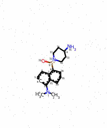 CN(C)c1cccc2c([S+]([O-])N3CCC(N)CC3)cccc12